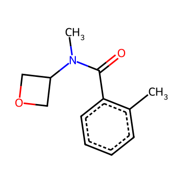 Cc1ccccc1C(=O)N(C)C1COC1